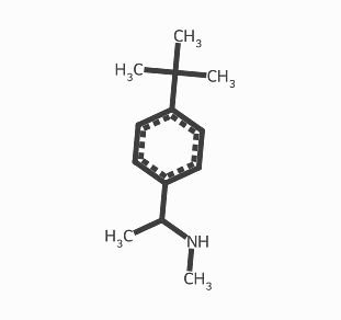 CNC(C)c1ccc(C(C)(C)C)cc1